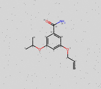 C=CCOc1cc(OC(C)C)cc(C(N)=O)c1